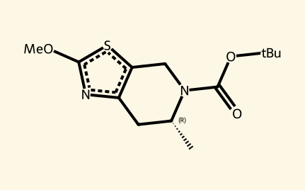 COc1nc2c(s1)CN(C(=O)OC(C)(C)C)[C@H](C)C2